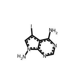 Nc1ncnc2c1c(I)cn2N